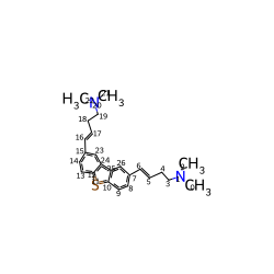 CN(C)CCC=Cc1ccc2sc3ccc(C=CCCN(C)C)cc3c2c1